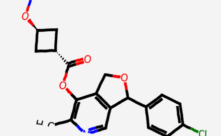 Cc1ncc2c(c1OC(=O)[C@H]1C[C@H](O[N+](=O)[O-])C1)COC2c1ccc(Cl)cc1